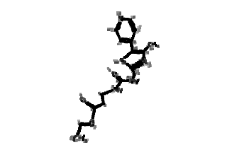 CCOC(=O)CCNC(=O)Nc1nc(C)c(-c2ccncc2)s1